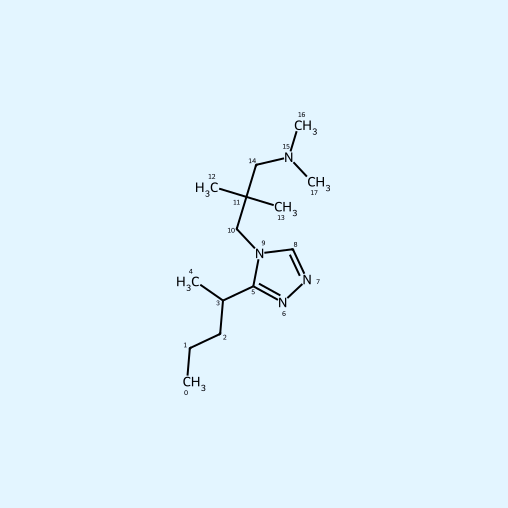 CCCC(C)c1nncn1CC(C)(C)CN(C)C